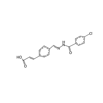 O=C(O)/C=C/c1ccc(C=NNC(=O)c2ccc(Cl)cc2)cc1